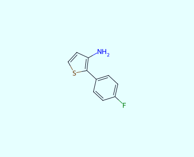 Nc1ccsc1-c1ccc(F)cc1